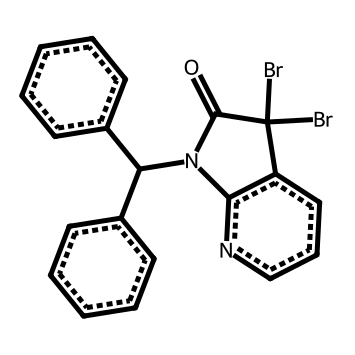 O=C1N(C(c2ccccc2)c2ccccc2)c2ncccc2C1(Br)Br